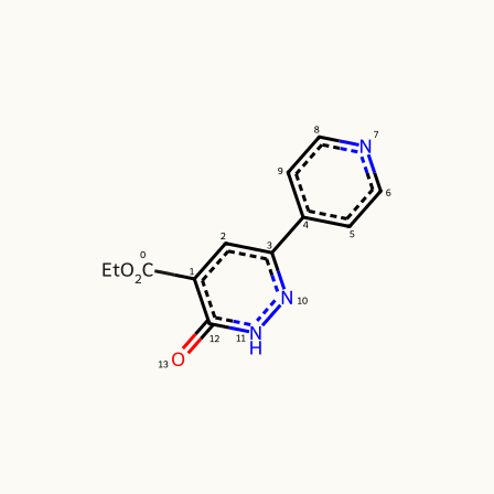 CCOC(=O)c1cc(-c2ccncc2)n[nH]c1=O